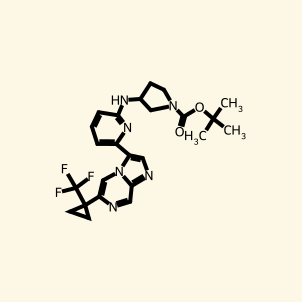 CC(C)(C)OC(=O)N1CCC(Nc2cccc(-c3cnc4cnc(C5(C(F)(F)F)CC5)cn34)n2)C1